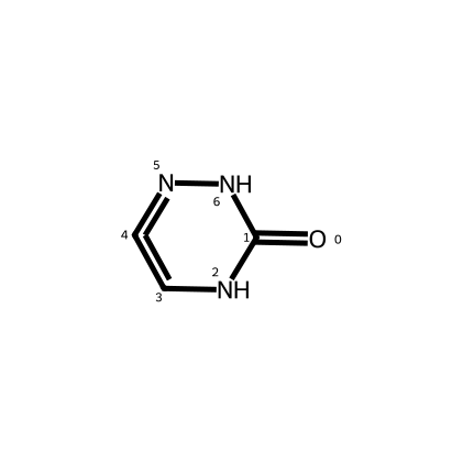 O=C1NC=C=NN1